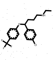 CCNCCCC(Oc1ccc(C(F)(F)F)cc1)c1ccc(Cl)cc1